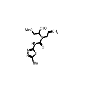 C=CCN(C(=O)Nc1nnc(C(C)(C)C)s1)C(C=O)COC